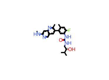 CNc1cc2nc(C)c(-c3cc(NC(=O)NC[C@H](O)C(C)C)c(F)cc3C)cc2cn1